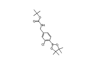 CC(C)(C)OC(=O)NCc1ccc(B2OC(C)(C)C(C)(C)O2)c(Cl)c1